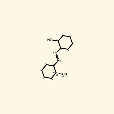 N#CC1CCCCC1N=NC1CCCC[C@H]1C#N